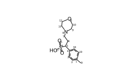 Cc1ccc(C(CCN2CCOCC2)S(=O)(=O)O)cc1